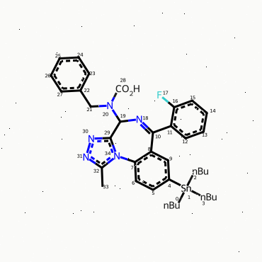 CCC[CH2][Sn]([CH2]CCC)([CH2]CCC)[c]1ccc2c(c1)C(c1ccccc1F)=NC(N(Cc1ccccc1)C(=O)O)c1nnc(C)n1-2